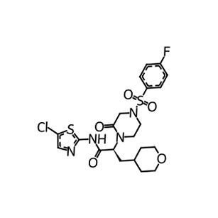 O=C(Nc1ncc(Cl)s1)[C@H](CC1CCOCC1)N1CCN(S(=O)(=O)c2ccc(F)cc2)CC1=O